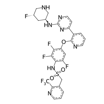 O=S(=O)(Cc1cccnc1C(F)(F)F)Nc1c(F)cc(Oc2ncccc2-c2ccnc(N[C@@H]3CNC[C@@H](F)C3)n2)c(F)c1F